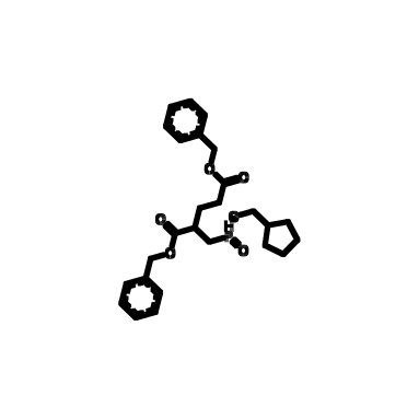 O=C(CCC(C[PH](=O)OCC1CCCC1)C(=O)OCc1ccccc1)OCc1ccccc1